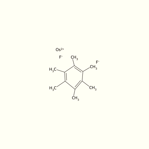 Cc1c(C)c(C)c(C)c(C)c1C.[F-].[F-].[Os+2]